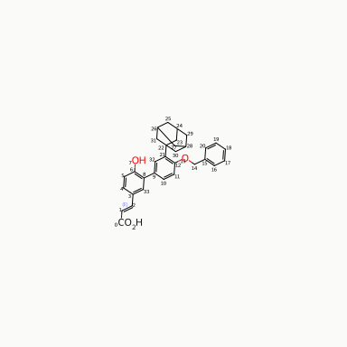 O=C(O)/C=C/c1ccc(O)c(-c2ccc(OCc3ccccc3)c(C34CC5CC(CC(C5)C3)C4)c2)c1